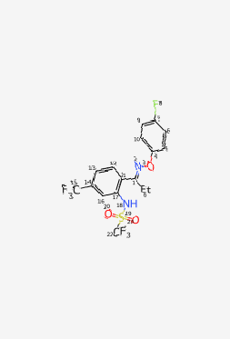 CC/C(=N\Oc1ccc(F)cc1)c1ccc(C(F)(F)F)cc1NS(=O)(=O)C(F)(F)F